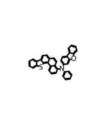 c1ccc(N(c2ccc3c(c2)oc2ccccc23)c2cccc3c2ccc2ccc4c5ccccc5sc4c23)cc1